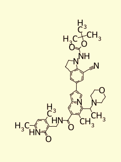 Cc1cc(C)c(CNC(=O)c2cc3cc(-c4cc(C#N)c5c(c4)CCN5NC(=O)OC(C)(C)C)cn3c(C(C)N3CCOCC3)c2C)c(=O)[nH]1